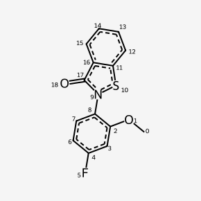 COc1cc(F)ccc1-n1sc2ccccc2c1=O